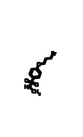 CNS(=O)(=O)c1ccc(OCCCBr)cc1